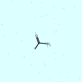 [C]C(N)=O